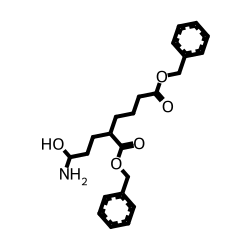 NC(O)CCC(CCCC(=O)OCc1ccccc1)C(=O)OCc1ccccc1